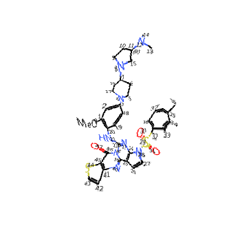 COc1cc(N2CCC(N3CC[C@@H](N(C)C)C3)CC2)ccc1Nc1nc2c(ccn2S(=O)(=O)c2ccc(C)cc2)c2nc3ccsc3c(=O)n12